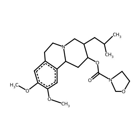 COc1cc2c(cc1OC)C1CC(OC(=O)N3CCOC3)C(CC(C)C)CN1CC2